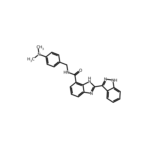 CN(C)c1ccc(CNC(=O)c2cccc3nc(-c4n[nH]c5ccccc45)[nH]c23)cc1